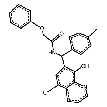 Cc1ccc(C(NC(=O)COc2ccccc2)c2cc(Cl)c3cccnc3c2O)cc1